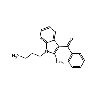 Cc1c(C(=O)c2ccccc2)c2ccccc2n1CCCN